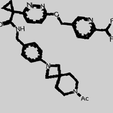 CC(=O)N1CCC2(CC1)CN(c1ccc(CNC(=O)C3(c4ccc(OCc5ccc(C(F)F)nc5)nn4)CC3)cc1)C2